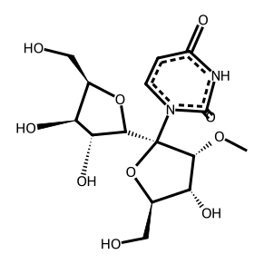 CO[C@@H]1[C@H](O)[C@@H](CO)O[C@@]1(C1O[C@H](CO)[C@H](O)[C@H]1O)n1ccc(=O)[nH]c1=O